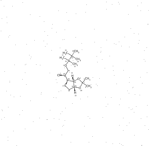 CC1(C)O[C@H]2[C@H]([C@@H](Cl)CO[Si](C)(C)C(C)(C)C)SC[C@H]2O1